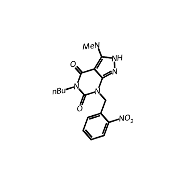 CCCCn1c(=O)c2c(NC)[nH]nc2n(Cc2ccccc2[N+](=O)[O-])c1=O